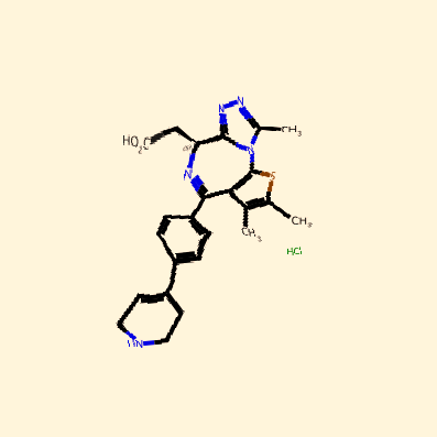 Cc1sc2c(c1C)C(c1ccc(C3=CCNCC3)cc1)=N[C@@H](CC(=O)O)c1nnc(C)n1-2.Cl